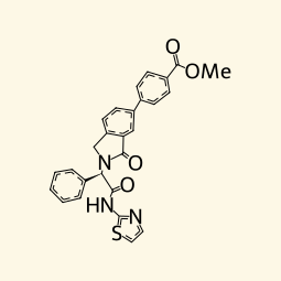 COC(=O)c1ccc(-c2ccc3c(c2)C(=O)N([C@@H](C(=O)Nc2nccs2)c2ccccc2)C3)cc1